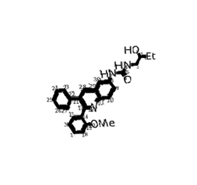 CCC(O)CNC(=O)Nc1ccc2nc(-c3ccccc3OC)c(-c3ccccc3)cc2c1